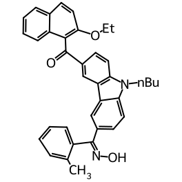 CCCCn1c2ccc(C(=O)c3c(OCC)ccc4ccccc34)cc2c2cc(/C(=N\O)c3ccccc3C)ccc21